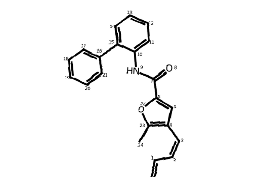 C=C/C=C\c1cc(C(=O)Nc2ccccc2-c2ccccc2)oc1C